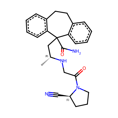 C[C@H](CC1(C(N)=O)c2ccccc2CCc2ccccc21)NCC(=O)N1CCC[C@H]1C#N